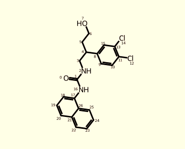 O=C(NCC(CCO)c1ccc(Cl)c(Cl)c1)Nc1cccc2ccccc12